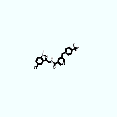 O=C(NCc1n[nH]c2ccc(Cl)cc12)c1cncc(Cc2ccc(C(F)(F)F)cc2)c1